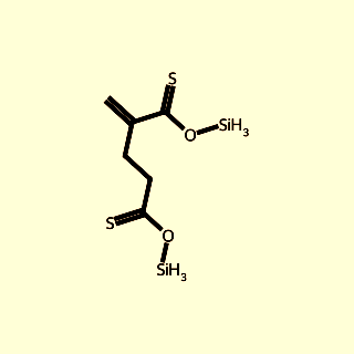 C=C(CCC(=S)O[SiH3])C(=S)O[SiH3]